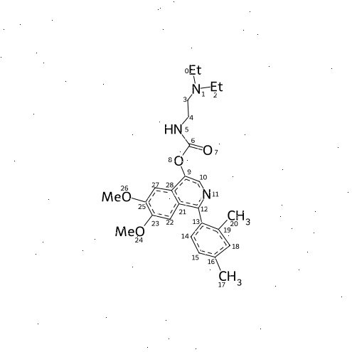 CCN(CC)CCNC(=O)Oc1cnc(-c2ccc(C)cc2C)c2cc(OC)c(OC)cc12